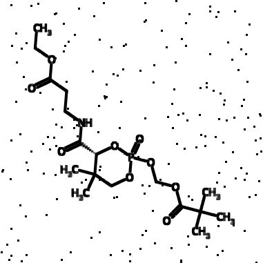 CCOC(=O)CCNC(=O)[C@@H]1OP(=O)(OCOC(=O)C(C)(C)C)OCC1(C)C